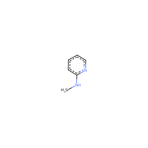 [SiH3]Nc1ccccn1